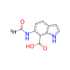 [2H]C(=O)Nc1ccc2cc[nH]c2c1C(=O)O